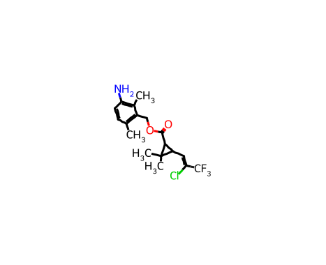 Cc1ccc(N)c(C)c1COC(=O)C1C(C=C(Cl)C(F)(F)F)C1(C)C